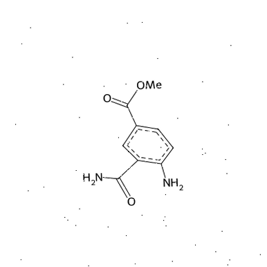 COC(=O)c1ccc(N)c(C(N)=O)c1